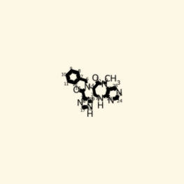 CN1C(=O)[C@@H](N(Cc2ccccc2)C(=O)c2nc[nH]n2)CNc2ncncc21